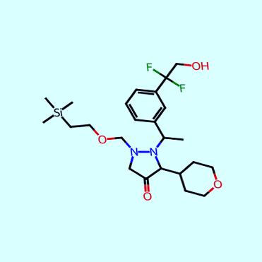 CC(c1cccc(C(F)(F)CO)c1)N1C(C2CCOCC2)C(=O)CN1COCC[Si](C)(C)C